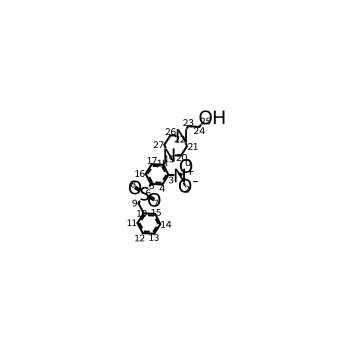 O=[N+]([O-])c1cc(S(=O)(=O)Cc2ccccc2)ccc1N1CCN(CCO)CC1